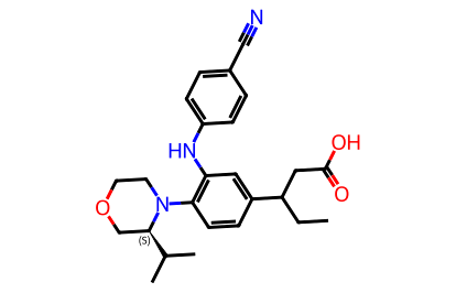 CCC(CC(=O)O)c1ccc(N2CCOC[C@@H]2C(C)C)c(Nc2ccc(C#N)cc2)c1